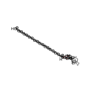 CC(C)CCC[C@@H](C)C1CCC2[C@@H]3CC=C4C[C@@H](OC(=O)NCCOCCOCCOCCOCCOCCOCCOCCOCCOCCOCCOCCOCCOCCOCCOCCOCCC(=O)O)CC[C@]4(C)C3CC[C@@]21C